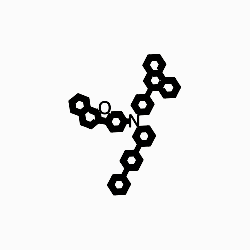 c1ccc(-c2ccc(-c3cccc(N(c4ccc(-c5cc6ccccc6c6ccccc56)cc4)c4ccc5c(c4)oc4c6ccccc6ccc54)c3)cc2)cc1